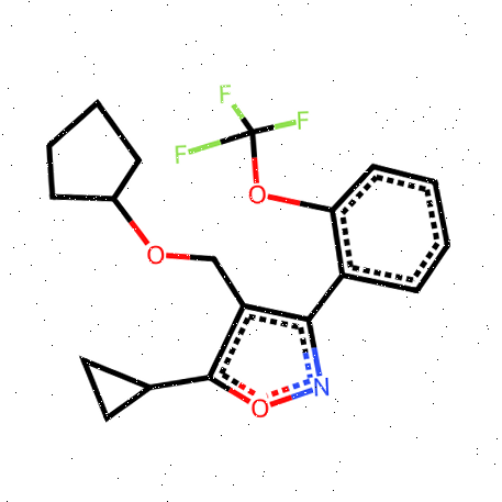 FC(F)(F)Oc1ccccc1-c1noc(C2CC2)c1COC1CCCC1